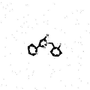 Fc1ccccc1Cn1nc(-c2ccccn2)cc1Br